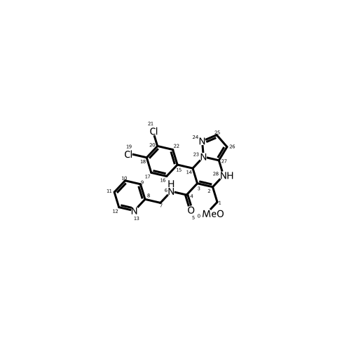 COCC1=C(C(=O)NCc2ccccn2)C(c2ccc(Cl)c(Cl)c2)n2nccc2N1